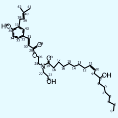 CCCCCCC[C@H](O)C/C=C\CCCCCCCC(=O)N(CCO)CCOC(=O)/C=C/c1ccc(O)c(CC=C(C)C)c1